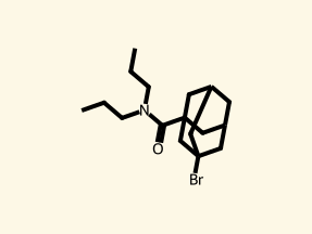 CCCN(CCC)C(=O)C12CC3CC(CC(Br)(C3)C1)C2